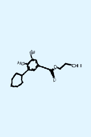 CC(C)(C)c1cc(C(=O)OCCO)cc(C2CCCCC2)c1O